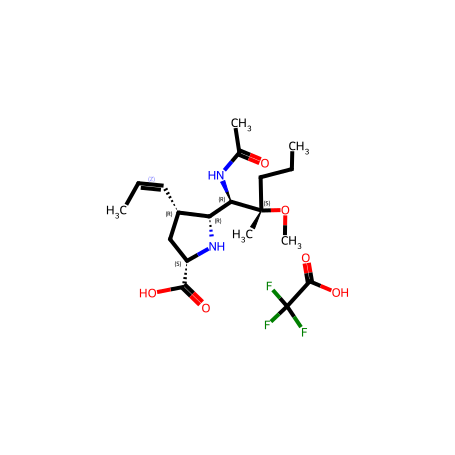 C/C=C\[C@H]1C[C@@H](C(=O)O)N[C@H]1[C@@H](NC(C)=O)[C@](C)(CCC)OC.O=C(O)C(F)(F)F